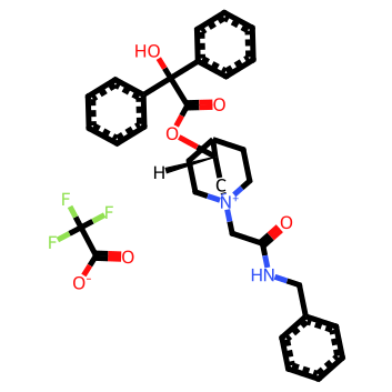 O=C(C[N+]12CCC(CC1)[C@@H](OC(=O)C(O)(c1ccccc1)c1ccccc1)C2)NCc1ccccc1.O=C([O-])C(F)(F)F